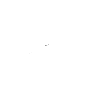 CC(C)[C@H]1CC[C@@H](N2CCC(F)(F)CC2)CC1